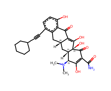 CN(C)[C@@H]1C(O)=C(C(N)=O)C(=O)[C@@]2(O)C(O)=C3C(=O)c4c(O)ccc(C#CC5CCCCC5)c4C[C@H]3C[C@@H]12